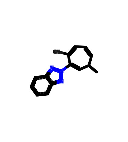 CC1C=CC=C(N=O)C(n2nc3ccccc3n2)=C1